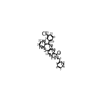 O=C(NCc1ccccn1)c1ncc2c(n1)N=C(c1cccc(Cl)c1)c1nccnc1S2